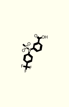 CS(=O)(=O)N(c1ccc(C(F)(F)F)cc1)c1cccc(C(=O)O)c1